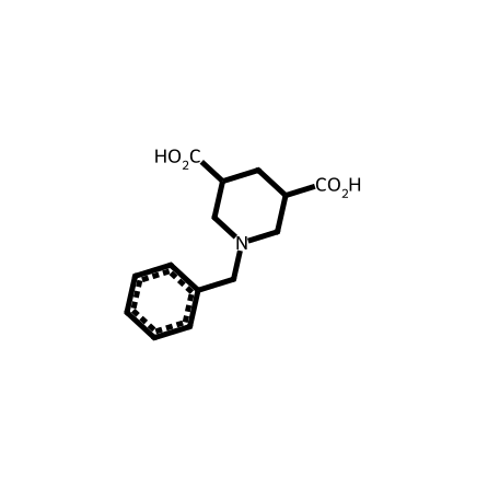 O=C(O)C1CC(C(=O)O)CN(Cc2ccccc2)C1